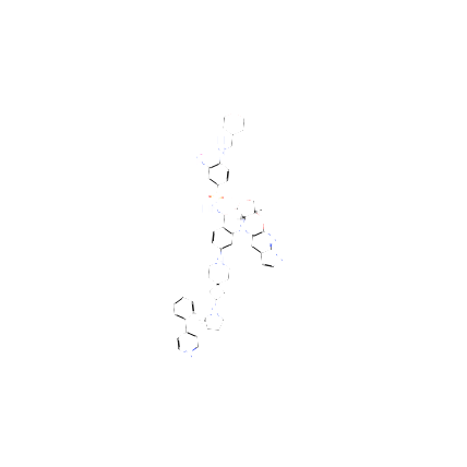 O=C(NS(=O)(=O)c1ccc(NCC2CCOCC2)c([N+](=O)[O-])c1)c1ccc(N2CCC3(CC2)CC(N2CCC[C@H]2c2ccccc2-c2ccncc2)C3)cc1N1c2cc3cc[nH]c3nc2O[C@@H]2COC[C@H]21